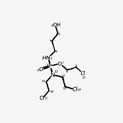 O=P(NCCCO)(OCCCl)N(CCCl)CCCl